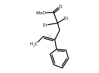 C/C=C(/CC(CC)(CC)C(=O)OC)c1ccccc1